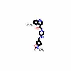 COc1ccc2nccc([C@@H](O)CN3CCC(NCc4ccc5c(c4)oc(=S)n5C)CC3)c2c1